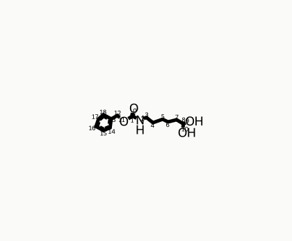 O=C(NCCCCCC(O)O)OCc1ccccc1